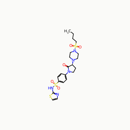 CCCCS(=O)(=O)N1CCN([C@H]2CCN(c3ccc(S(=O)(=O)Nc4nccs4)cc3)C2=O)CC1